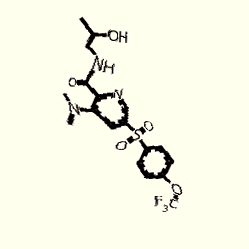 CC(O)CNC(=O)c1ncc(S(=O)(=O)c2ccc(OC(F)(F)F)cc2)cc1N(C)C